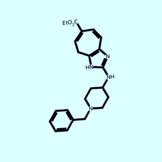 CCOC(=O)C1=CCc2[nH]c(NC3CCN(Cc4ccccc4)CC3)nc2C=C1